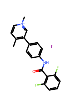 Cc1cc[n+](C)cc1-c1ccc(NC(=O)c2c(F)cccc2F)cc1.[I-]